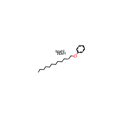 CCCCCCCCCCCCOc1ccccc1.[NaH].[NaH]